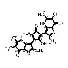 CC1=NC2C(=O)C(C)=C(C)NC2=C1C1=C(O)C(C2=C3NC(C)=C(C)C(=O)C3N=C2C)=C(O)C1=O